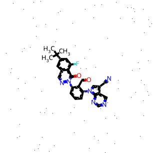 CC(C)(C)c1cc(F)c2c(=O)n(-c3cccc(-n4cc(C#N)c5cncnc54)c3C=O)ncc2c1